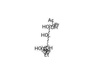 CCC1CC(C)C2(NC1=O)OC(CC(O)C(C)CC/C=C/C=C(\C)C(O)C/C=C/C=C/[C@H](O)C(C)C(O)C(CCC(C)=O)C(C)C)C(C)C(O)C2C